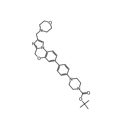 CC(C)(C)OC(=O)N1CCN(c2ccc(-c3ccc4c(c3)OCc3nc(CN5CCOCC5)cn3-4)cc2)CC1